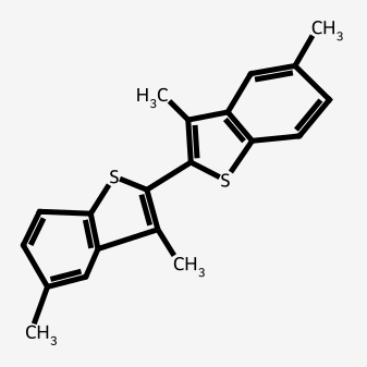 Cc1ccc2sc(-c3sc4ccc(C)cc4c3C)c(C)c2c1